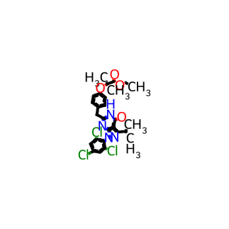 CCOC(=O)C(C)(C)Oc1ccc(Cc2nc3c(c(C(C)C)nn3-c3c(Cl)cc(Cl)cc3Cl)c(=O)[nH]2)cc1